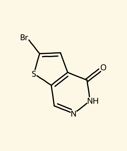 O=c1[nH]ncc2sc(Br)cc12